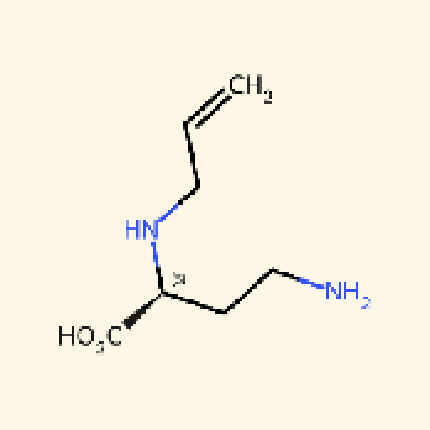 C=CCN[C@@H](CCN)C(=O)O